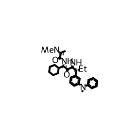 CC[C@@H](C(=N)C(=O)[C@@H](NC(=O)[C@H](C)NC)C1CCCCC1)c1cccc(N(C)c2ccccc2)c1